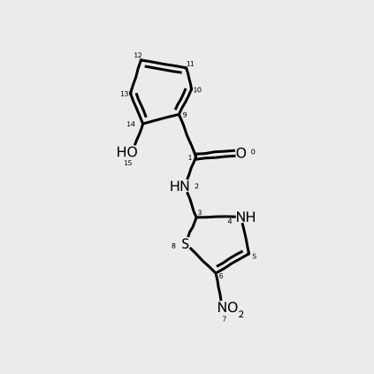 O=C(NC1NC=C([N+](=O)[O-])S1)c1ccccc1O